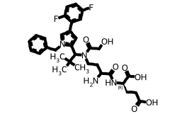 CC(C)(C)C(c1cc(-c2cc(F)ccc2F)cn1Cc1ccccc1)N(CCC(N)C(=O)N[C@H](CCC(=O)O)C(=O)O)C(=O)CO